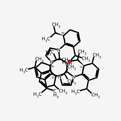 CC(C)C1=C(N2C=CN(C3=C(C(C)C)C=CC[C@@H]3C(C)C)C2NC2N(C3=C(C(C)C)C=CC(C)[C@@H]3C(C)C)C=CN2C2=C(C(C)C)C=CC[C@@H]2C(C)C)[C@@H](C(C)C)C(C)C=C1